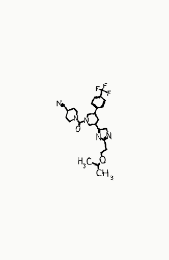 CC(C)OCCC1=NCC(C2CC(c3ccc(C(F)(F)F)cc3)CN(C(=O)N3CCC(C#N)CC3)C2)=N1